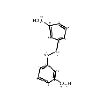 O=C(O)c1cccc([Se][Se]c2cccc(C(=O)O)c2)c1